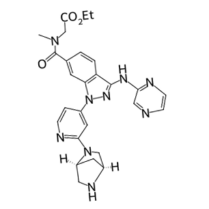 CCOC(=O)CN(C)C(=O)c1ccc2c(Nc3cnccn3)nn(-c3ccnc(N4C[C@@H]5C[C@H]4CN5)c3)c2c1